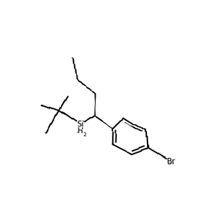 CCCC([SiH2]C(C)(C)C)c1ccc(Br)cc1